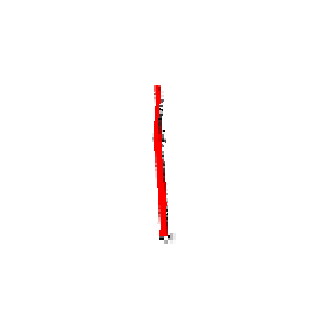 CCCCCCC=CCCCCCCCCCCCC(=O)OCCCCCCCCCCCCCCCCCCCCCCCCCCCCCCCCCCCCCCO